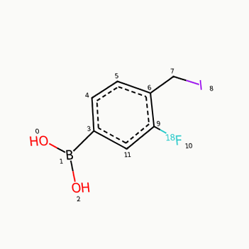 OB(O)c1ccc(CI)c([18F])c1